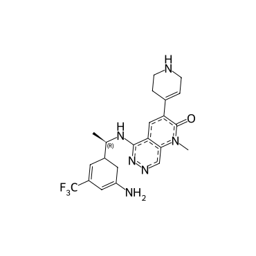 C[C@@H](Nc1nncc2c1cc(C1=CCNCC1)c(=O)n2C)C1C=C(C(F)(F)F)C=C(N)C1